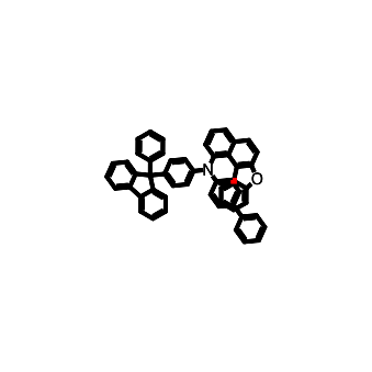 c1ccc(-c2ccc(N(c3ccc(C4(c5ccccc5)c5ccccc5-c5ccccc54)cc3)c3cccc4ccc5oc6ccccc6c5c34)cc2)cc1